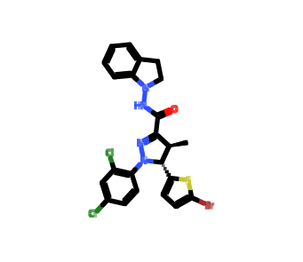 C[C@@H]1C(C(=O)NN2CCc3ccccc32)=NN(c2ccc(Cl)cc2Cl)[C@H]1c1ccc(Br)s1